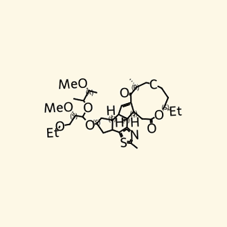 CCOC[C@H](OC)C(OC(C)[C@@H](C)OC)O[C@@H]1CC2c3sc(C)nc3[C@@H]3C(C=C4C(=O)[C@H](C)CCCC[C@H](CC)OC(=O)C[C@H]43)[C@@H]2C1